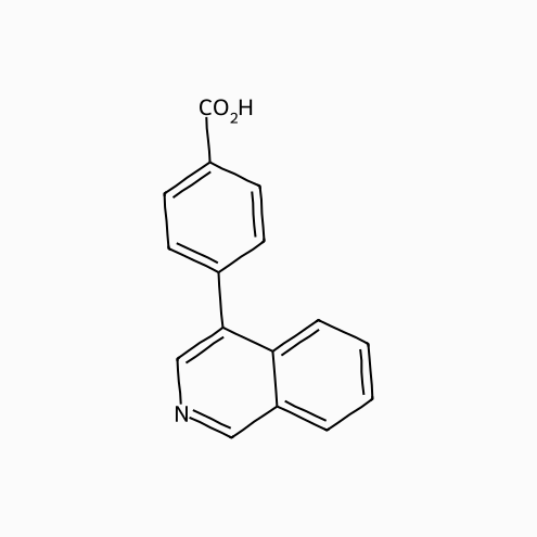 O=C(O)c1ccc(-c2cncc3ccccc23)cc1